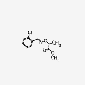 COC(=O)C(C)ON=Cc1c[c]ccc1Cl